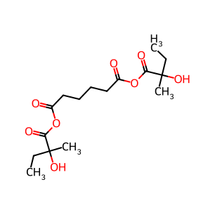 CCC(C)(O)C(=O)OC(=O)CCCCC(=O)OC(=O)C(C)(O)CC